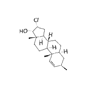 C[C@H]1C=C[C@@]2(C)[C@@H](CC[C@@H]3[C@@H]2CC[C@]2(C)[C@H](O)[C@H](Cl)C[C@@H]32)C1